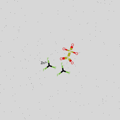 FC(F)F.FC(F)F.O=S(=O)=S(=O)([O-])[O-].[Zn+2]